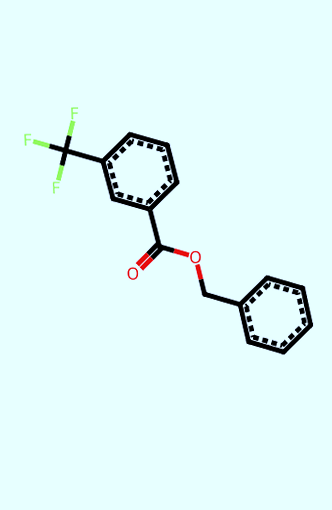 O=C(OCc1ccccc1)c1cccc(C(F)(F)F)c1